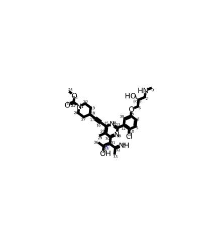 CNC[C@@H](O)COc1ccc(Cl)c(-c2nc(C#CC3CCN(C(=O)OC)CC3)c(C)c(/C(C(C)=N)=C(\C)O)n2)c1